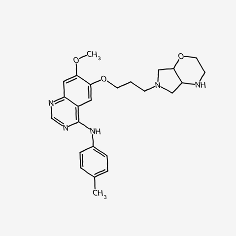 COc1cc2ncnc(Nc3ccc(C)cc3)c2cc1OCCCN1CC2NCCOC2C1